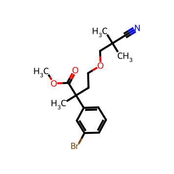 COC(=O)C(C)(CCOCC(C)(C)C#N)c1cccc(Br)c1